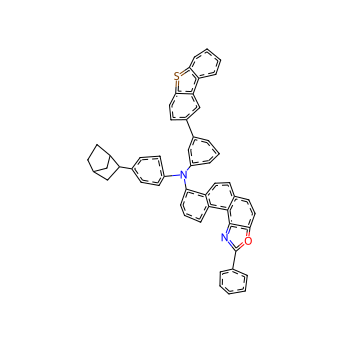 c1ccc(-c2nc3c(ccc4ccc5c(N(c6ccc(C7CC8CCC7C8)cc6)c6cccc(-c7ccc8sc9ccccc9c8c7)c6)cccc5c43)o2)cc1